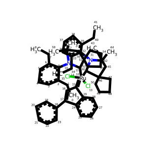 CCc1cccc(CC)c1N1[CH]([Ru]([Cl])([Cl])(=[C]2C=C(c3ccccc3)c3ccccc32)[CH]2N(c3c(CC)cccc3CC)C(C)(C)CC23CCCC3)C2(CCCC2)CC1(C)C